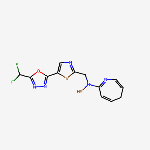 FC(F)c1nnc(-c2cnc(CN(S)C3=NC=CCC=C3)s2)o1